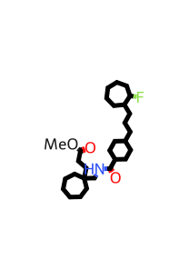 COC(=O)CCC1(CNC(=O)C2CCC(CCCC3CCCCCC3F)CC2)CCCCCC1